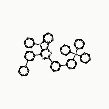 c1ccc(-c2cccc(-c3nc(-c4cccc(-c5cccc([Si](c6ccccc6)(c6ccccc6)c6ccccc6)c5)c4)nc4c5ccccc5n(-c5ccccc5)c34)c2)cc1